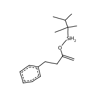 C=C(CCc1ccccc1)O[SiH2]C(C)(C)C(C)C